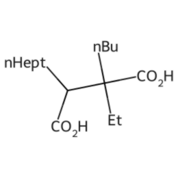 CCCCCCCC(C(=O)O)C(CC)(CCCC)C(=O)O